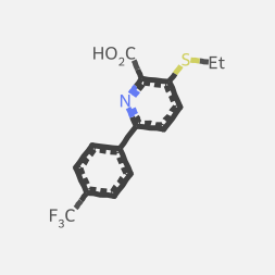 CCSc1ccc(-c2ccc(C(F)(F)F)cc2)nc1C(=O)O